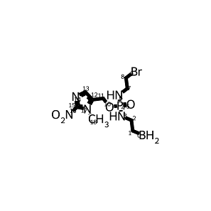 BCCNP(=O)(NCCBr)OCc1cnc([N+](=O)[O-])n1C